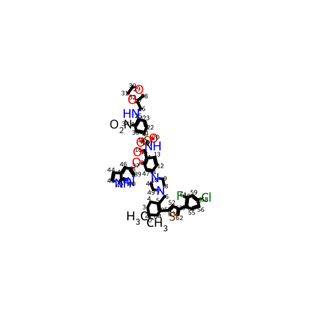 CC1(C)CCC(CN2CCN(c3ccc(C(=O)NS(=O)(=O)c4ccc(NCC5COCCO5)c([N+](=O)[O-])c4)c(Oc4cnc5[nH]ccc5c4)c3)CC2)=C(c2cc(-c3ccc(Cl)cc3F)cs2)C1